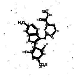 Cc1cnc2c(C[C@H]3CN(C(=O)OC(C)(C)C)CCO3)c(-c3c(F)cc(C(=O)O)cc3F)oc2c1